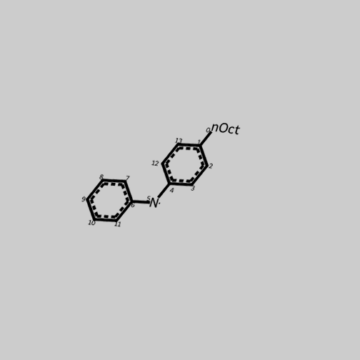 CCCCCCCCc1ccc([N]c2ccccc2)cc1